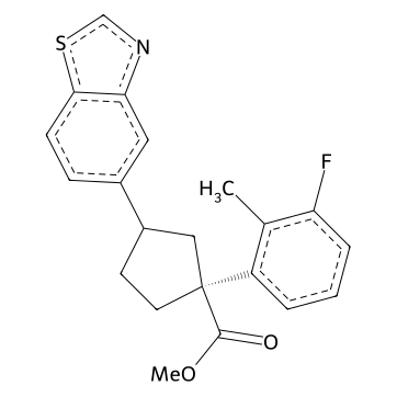 COC(=O)[C@@]1(c2cccc(F)c2C)CCC(c2ccc3scnc3c2)C1